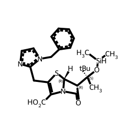 C[SiH](C)O[C@@](C)([C@@H]1C(=O)N2C(C(=O)O)=C(Cc3nccn3Cc3ccccc3)S[C@H]12)C(C)(C)C